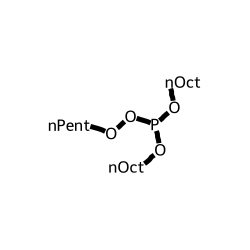 CCCCCCCCOP(OCCCCCCCC)OOCCCCC